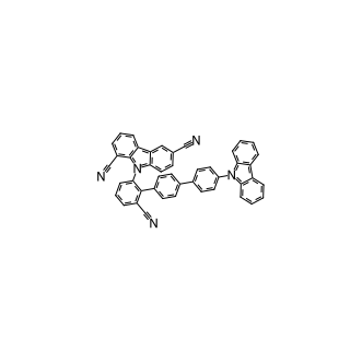 N#Cc1ccc2c(c1)c1cccc(C#N)c1n2-c1cccc(C#N)c1-c1ccc(-c2ccc(-n3c4ccccc4c4ccccc43)cc2)cc1